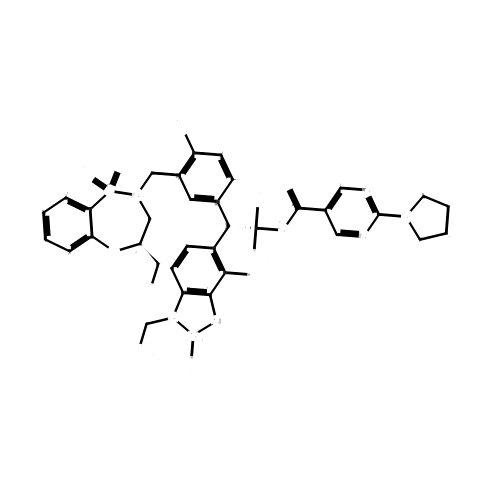 CC[C@@H]1CN(Cc2cc([C@@H](c3ccc4c(c3C)NN(C)N4CC)C(C)(C)NC(=O)c3cnc(N4CCCC4)nc3)ccc2C)S(=O)(=O)c2ccccc2O1